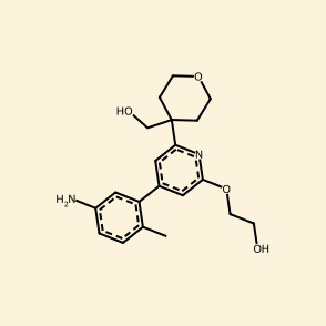 Cc1ccc(N)cc1-c1cc(OCCO)nc(C2(CO)CCOCC2)c1